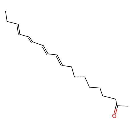 CC/C=C/C=C/C=C/C=C/CCCCCCCC(C)=O